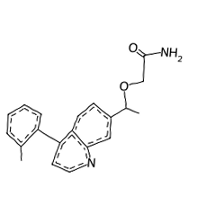 Cc1ccccc1-c1ccnc2cc(C(C)OCC(N)=O)ccc12